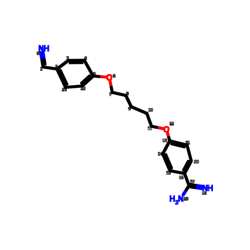 N=Cc1ccc(OCCCCCOc2ccc(C(=N)N)cc2)cc1